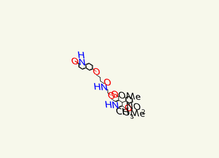 COC(=O)C1=C(C)NC(COCCNC(=O)CCCOc2ccc3[nH]c(=O)ccc3c2)=C(C(=O)OC)C1c1ccccc1[N+](=O)[O-]